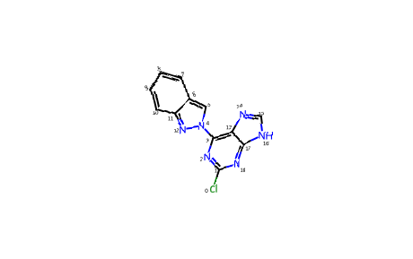 Clc1nc(-n2cc3ccccc3n2)c2nc[nH]c2n1